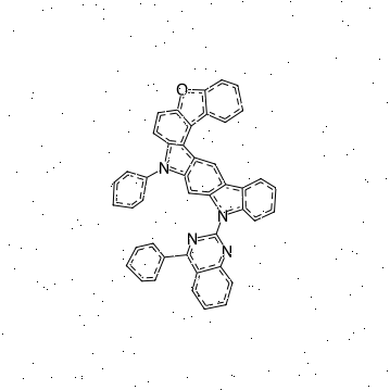 c1ccc(-c2nc(-n3c4ccccc4c4cc5c6c7c(ccc6n(-c6ccccc6)c5cc43)oc3ccccc37)nc3ccccc23)cc1